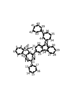 C[Si]1(C)c2ccccc2-c2nc(-c3ccccc3)nc(-c3ccc4c(c3)c3ccccc3n4-c3cccc(-c4ccccc4)c3)c21